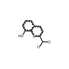 Oc1cccc2ccc(C(Cl)Cl)nc12